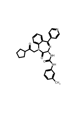 Cc1cccc(NC(=O)N[C@@H]2N=C(c3ccncc3)c3ccccc3N(CC(=O)C3CCCC3)C2=O)c1